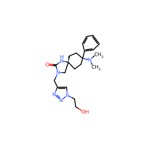 CN(C)[C@]1(c2ccccc2)CC[C@@]2(CC1)CN(Cc1cn(CCO)nn1)C(=O)N2